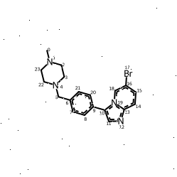 CN1CCN(Cc2ccc(-c3cnc4ccc(Br)cn34)cc2)CC1